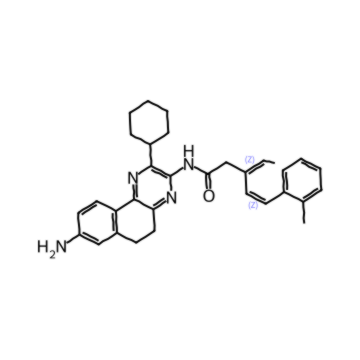 C/C=C(\C=C/c1ccccc1C)CC(=O)Nc1nc2c(nc1C1CCCCC1)-c1ccc(N)cc1CC2